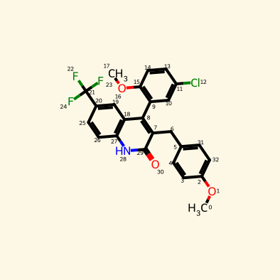 COc1ccc(Cc2c(-c3cc(Cl)ccc3OC)c3cc(C(F)(F)F)ccc3[nH]c2=O)cc1